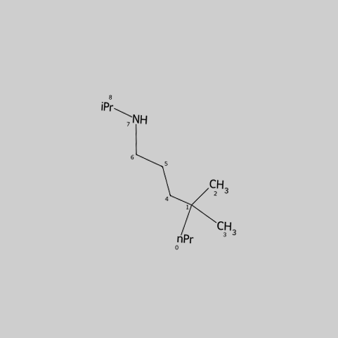 CCCC(C)(C)CCCNC(C)C